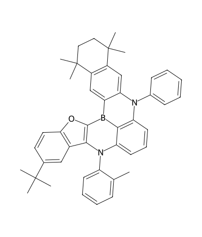 Cc1ccccc1N1c2cccc3c2B(c2cc4c(cc2N3c2ccccc2)C(C)(C)CCC4(C)C)c2oc3ccc(C(C)(C)C)cc3c21